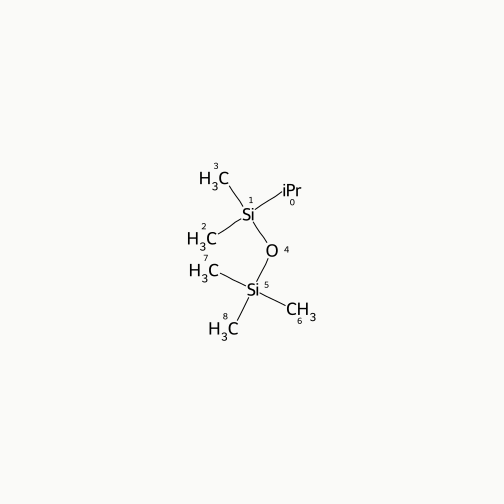 CC(C)[Si](C)(C)O[Si](C)(C)C